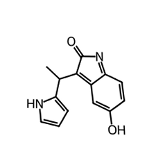 CC(C1=c2cc(O)ccc2=NC1=O)c1ccc[nH]1